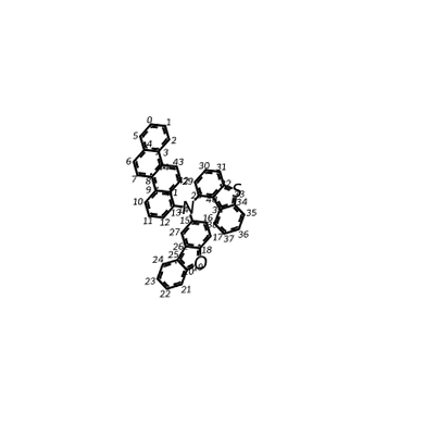 c1ccc2c(c1)ccc1c3cccc(N(c4ccc5oc6ccccc6c5c4)c4cccc5sc6ccccc6c45)c3ccc21